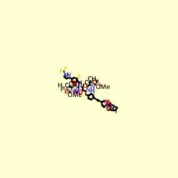 COC(=O)NC(C(=O)N[C@@H](Cc1ccc(C#Cc2ccc(N3CC4CCC(C3)N4C3(C)COC3)nc2)cc1)[C@@H](O)CN(Cc1c(F)cc(-c2ccn(C(F)F)n2)cc1F)NC(=O)[C@@H](NC(=O)OC)C(C)(C)C(F)(F)F)C(C)(C)C(F)(F)F